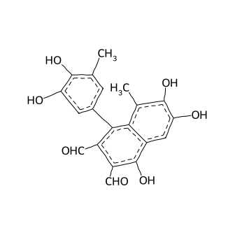 Cc1cc(-c2c(C=O)c(C=O)c(O)c3cc(O)c(O)c(C)c23)cc(O)c1O